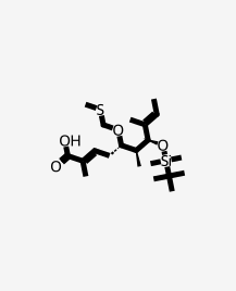 C/C=C(\C)[C@@H](O[Si](C)(C)C(C)(C)C)[C@@H](C)[C@H](C/C=C(\C)C(=O)O)OCSC